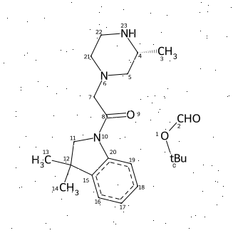 CC(C)(C)OC=O.C[C@@H]1CN(CC(=O)N2CC(C)(C)c3ccccc32)CCN1